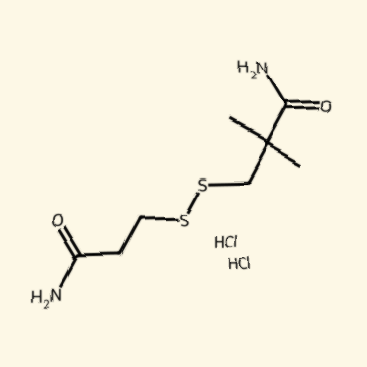 CC(C)(CSSCCC(N)=O)C(N)=O.Cl.Cl